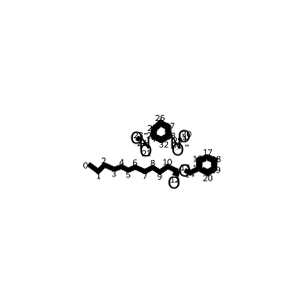 CCCCCCCCCCCC(=O)OCc1ccccc1.O=[N+]([O-])c1cccc([N+](=O)[O-])c1